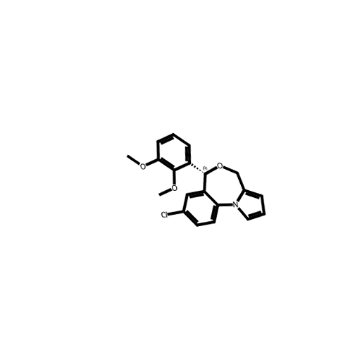 COc1cccc([C@@H]2OCc3cccn3-c3ccc(Cl)cc32)c1OC